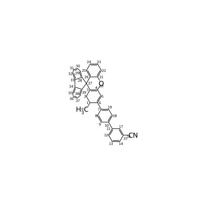 CC1CC2=C(C=C1c1ccc(-c3cccc(C#N)c3)cc1)Oc1ccccc1C21c2ccccc2-c2ccccc21